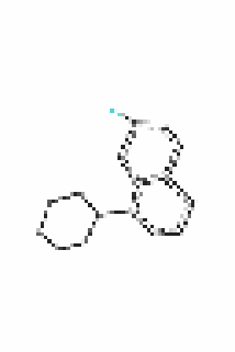 Fc1ccc2cccc(C3CCCCC3)c2c1